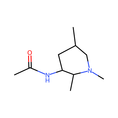 CC(=O)NC1CC(C)CN(C)C1C